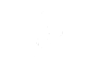 CCCCC(=Nc1ccccc1)OC(C)=O